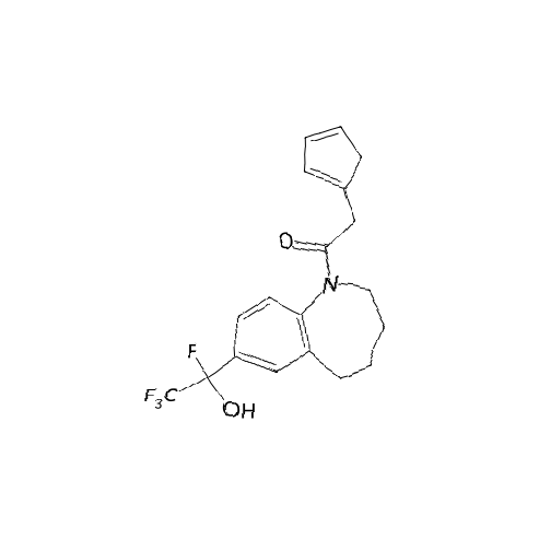 O=C(CC1=CC=CC1)N1CCCCc2cc(C(O)(F)C(F)(F)F)ccc21